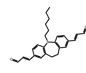 CCCCCCN1c2ccc(/C=C/C=O)cc2CCc2cc(/C=C/C=O)ccc21